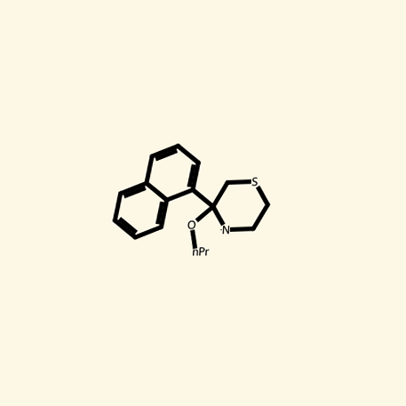 CCCOC1(c2cccc3ccccc23)CSCC[N]1